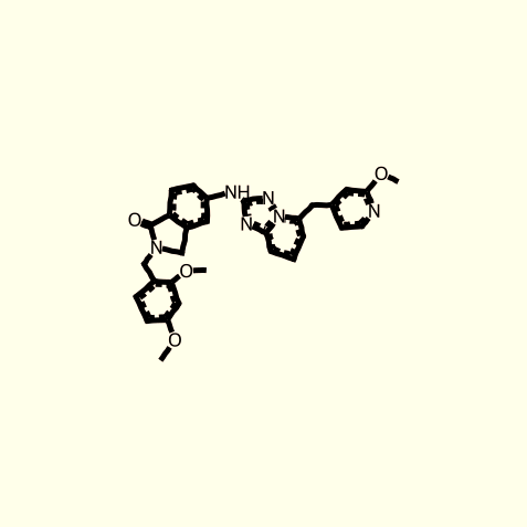 COc1ccc(CN2Cc3cc(Nc4nc5cccc(Cc6ccnc(OC)c6)n5n4)ccc3C2=O)c(OC)c1